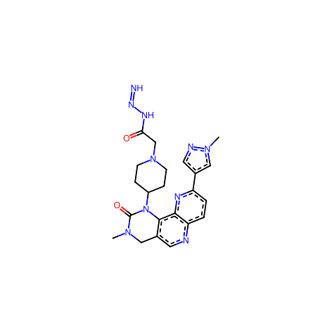 CN1Cc2cnc3ccc(-c4cnn(C)c4)nc3c2N(C2CCN(CC(=O)NN=N)CC2)C1=O